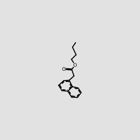 CCCCOC(=O)Cc1cccc2ccccc12